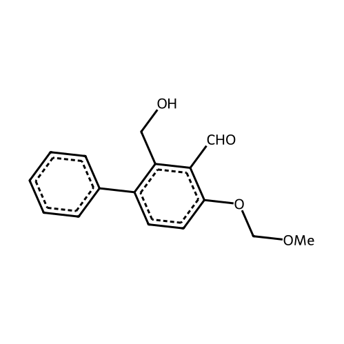 COCOc1ccc(-c2ccccc2)c(CO)c1C=O